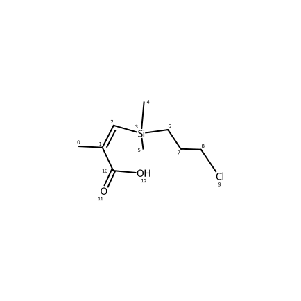 CC(=C[Si](C)(C)CCCCl)C(=O)O